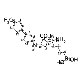 CN(c1ccc(-c2ccc(C(F)(F)F)cc2)cc1)[C@H]1C[C@H]([C@@](N)(CCCCB(O)O)C(=O)O)C1